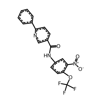 O=C(Nc1ccc(OC(F)(F)F)c([N+](=O)[O-])c1)c1ccc(-c2ccccc2)nc1